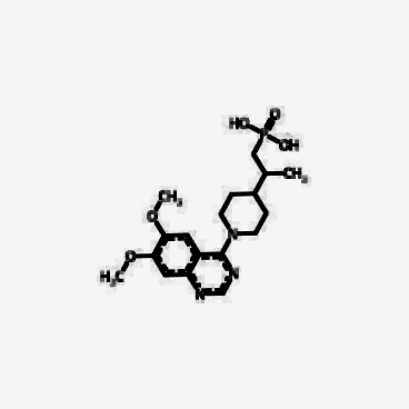 COc1cc2ncnc(N3CCC(C(C)CP(=O)(O)O)CC3)c2cc1OC